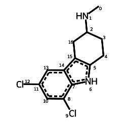 CNC1CCc2[nH]c3c(Cl)cc(Cl)cc3c2C1